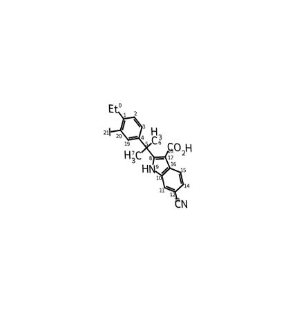 CCc1ccc(C(C)(C)c2[nH]c3cc(C#N)ccc3c2C(=O)O)cc1I